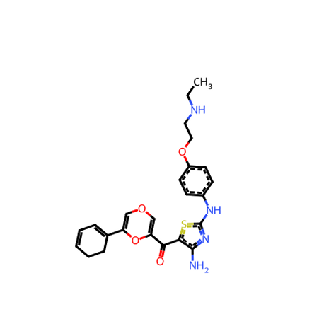 CCNCCOc1ccc(Nc2nc(N)c(C(=O)C3=COC=C(C4=CC=CCC4)O3)s2)cc1